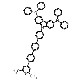 Cc1cc(-c2ccc(-c3ccc(-c4ccc(-n5c6ccc(N(c7ccccc7)c7ccccc7)cc6c6cc(N(c7ccccc7)c7ccccc7)ccc65)cc4)cc3)cc2)cc(C)n1